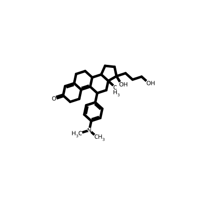 CN(C)c1ccc(C2CC3(C)C(CCC3(O)CCCO)C3CCC4=CC(=O)CCC4=C23)cc1